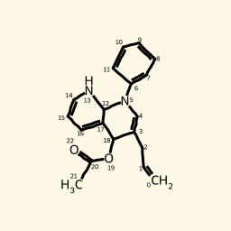 C=CCC1=CN(c2ccccc2)C2NC=CC=C2C1OC(C)=O